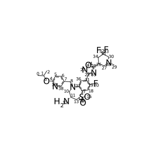 CC(C)Oc1ccc(CN2C[C@@H](N)CS(=O)(=O)c3cc(F)c(-c4noc(C5CN(C)CC(F)(F)C5)n4)cc32)cn1